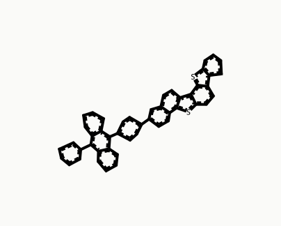 c1ccc(-c2c3ccccc3c(-c3ccc(-c4ccc5c(ccc6c5sc5ccc7c8ccccc8sc7c56)c4)cc3)c3ccccc23)cc1